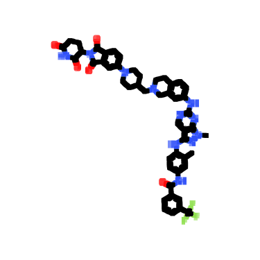 Cc1cc(NC(=O)c2cccc(C(F)(F)F)c2)ccc1Nc1nn(C)c2nc(Nc3ccc4c(c3)CN(CC3CCN(c5ccc6c(c5)C(=O)N(C5CCC(=O)NC5=O)C6=O)CC3)CC4)ncc12